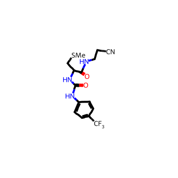 CSCC(NC(=O)Nc1ccc(C(F)(F)F)cc1)C(=O)NCCC#N